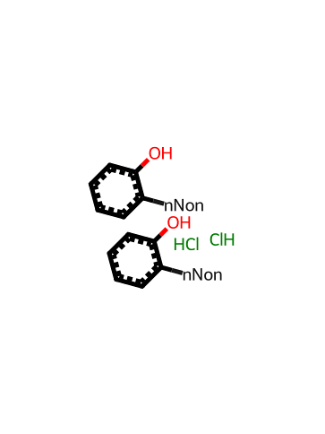 CCCCCCCCCc1ccccc1O.CCCCCCCCCc1ccccc1O.Cl.Cl